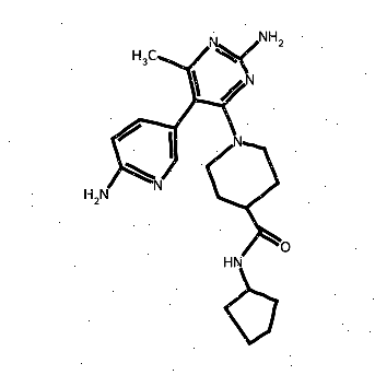 Cc1nc(N)nc(N2CCC(C(=O)NC3CCCC3)CC2)c1-c1ccc(N)nc1